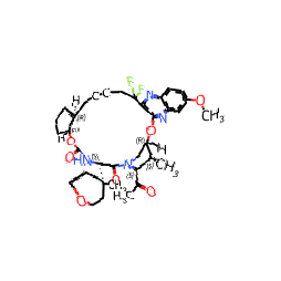 COc1ccc2nc3c(nc2c1)O[C@H]1CN(C(=O)[C@H](C2(C)CCOCC2)NC(=O)O[C@@H]2CCC[C@H]2CCCCC3(F)F)[C@H](C(C)=O)[C@@H]1C